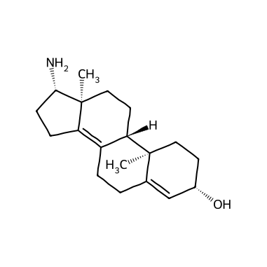 C[C@]12CC[C@H]3C(=C1CC[C@@H]2N)CCC1=C[C@@H](O)CC[C@@]13C